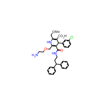 COCC1=C(C(=O)O)C(c2cccc(Cl)c2)C(C(=O)NCCC(c2ccccc2)c2ccccc2)=C(COCCN)N1